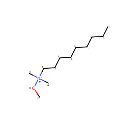 CCCCCCCCC[N+](C)(C)OC